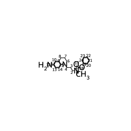 CN(CCCN1CCCc2cc(N)ccc21)C(=O)Oc1ccccc1